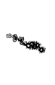 CC(C)(C)OC(=O)NCC(=O)ONCC1C=C2CC[C@H]3[C@H](CC[C@]4(C)C(c5cccnc5)=CC[C@@H]34)[C@@]2(C)CC1